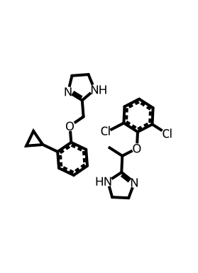 CC(Oc1c(Cl)cccc1Cl)C1=NCCN1.c1ccc(C2CC2)c(OCC2=NCCN2)c1